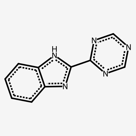 c1ccc2[nH]c(-c3ncncn3)nc2c1